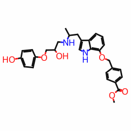 COC(=O)c1ccc(COc2cccc3c(CC(C)NCC(O)COc4ccc(O)cc4)c[nH]c23)cc1